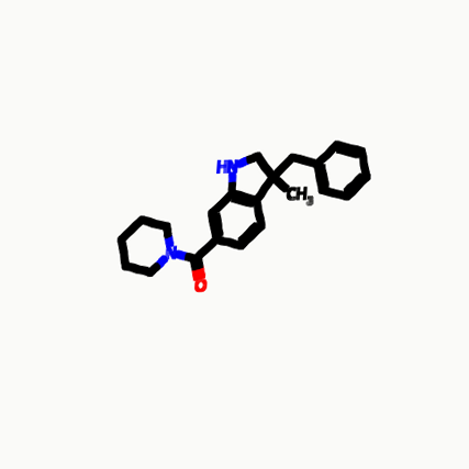 CC1(Cc2ccccc2)CNc2cc(C(=O)N3CCCCC3)ccc21